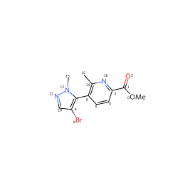 COC(=O)c1ccc(-c2c(Br)cnn2C)c(C)n1